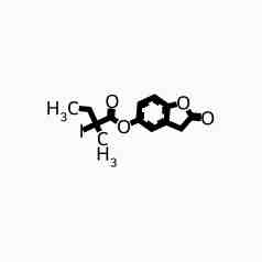 CCC(C)(I)C(=O)Oc1ccc2c(c1)CC(=O)O2